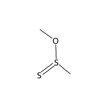 COS(C)=S